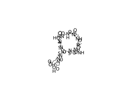 CNC(=O)C[C@@H]1NC(=O)c2csc(n2)-c2ccc(-c3nc(N(CCCCC(=O)O)C(=O)N4CCC(C(=O)O)CC4)cs3)nc2-c2csc(n2)-c2csc(n2)[C@H]([C@@H](O)c2ccccc2)NC(=O)CNC(=O)c2nc(sc2COC)C(C(C)C)NC(=O)c2nc1sc2C